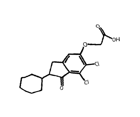 O=C(O)COc1cc2c(c(Cl)c1Cl)C(=O)C(C1CCCCC1)C2